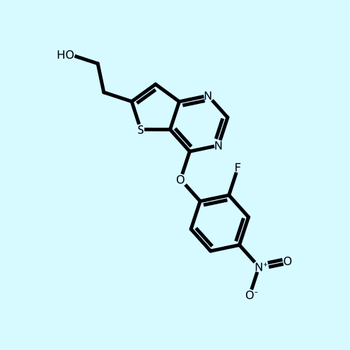 O=[N+]([O-])c1ccc(Oc2ncnc3cc(CCO)sc23)c(F)c1